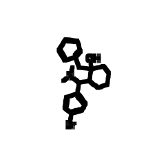 CN(C)C(c1ccc(Br)cc1)C1CCCCC1(O)Cc1ccccc1